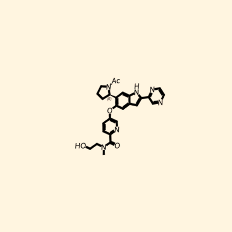 CC(=O)N1CCC[C@@H]1c1cc2[nH]c(-c3cnccn3)cc2cc1Oc1ccc(C(=O)N(C)CCO)nc1